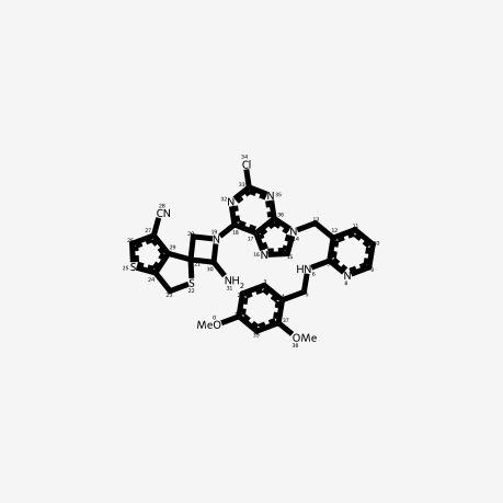 COc1ccc(CNc2ncccc2Cn2cnc3c(N4CC5(SCc6scc(C#N)c65)C4N)nc(Cl)nc32)c(OC)c1